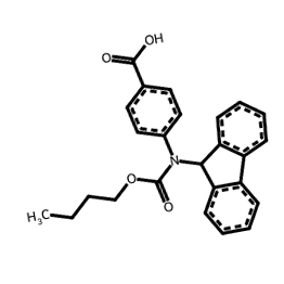 CCCCOC(=O)N(c1ccc(C(=O)O)cc1)C1c2ccccc2-c2ccccc21